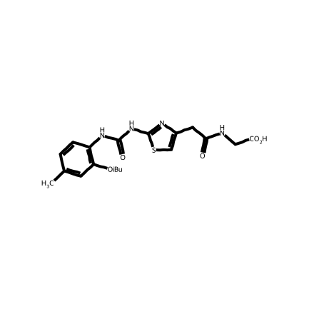 Cc1ccc(NC(=O)Nc2nc(CC(=O)NCC(=O)O)cs2)c(OCC(C)C)c1